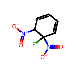 O=[N+]([O-])C1C=CC=CC1(F)[N+](=O)[O-]